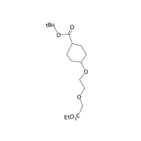 CCOC(=O)COCCOC1CCC(C(=O)OC(C)(C)C)CC1